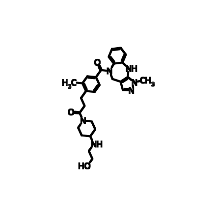 Cc1cc(C(=O)N2Cc3cnn(C)c3Nc3ccccc32)ccc1CCC(=O)N1CCC(NCCO)CC1